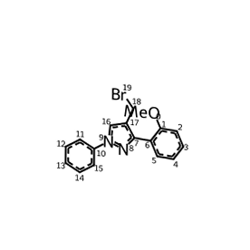 COc1ccccc1-c1nn(-c2ccccc2)cc1CBr